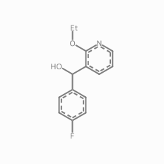 CCOc1ncccc1C(O)c1ccc(F)cc1